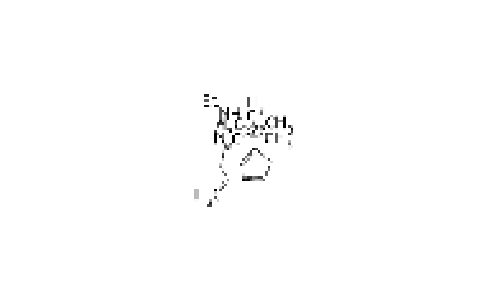 C=CCCCNCC.[CH3][Zr]([CH3])([CH3])([CH3])([CH3])[C]1=CC=CC1